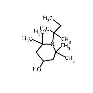 CCC(C)(C)N1C(C)(C)CC(O)CC1(C)C